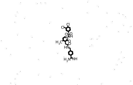 Cc1ccn(NS(=O)(=O)c2ccc(Cl)c(Cl)c2)c(=O)c1CC(=O)NCc1ccc(C(=N)N)cc1